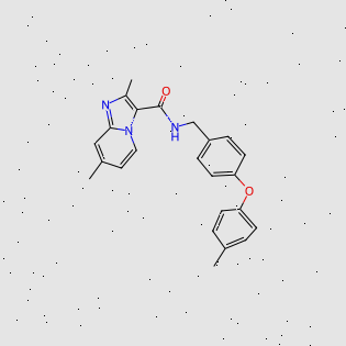 Cc1ccc(Oc2ccc(CNC(=O)c3c(C)nc4cc(C)ccn34)cc2)cc1